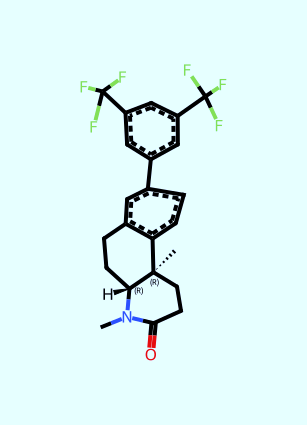 CN1C(=O)CC[C@]2(C)c3ccc(-c4cc(C(F)(F)F)cc(C(F)(F)F)c4)cc3CC[C@@H]12